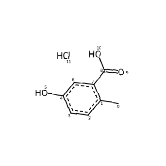 Cc1ccc(O)cc1C(=O)O.Cl